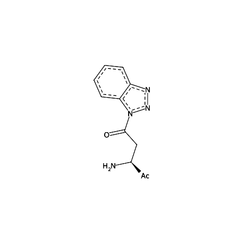 CC(=O)[C@@H](N)CC(=O)n1nnc2ccccc21